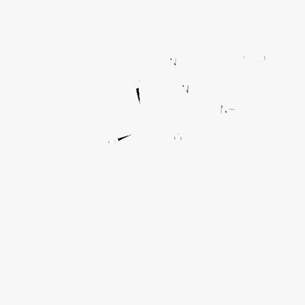 CCOC(=O)c1cnn([C@@H]2O[C@H](COCc3ccccc3)[C@@H](OCc3ccccc3)[C@H]2OCc2ccccc2)c1N